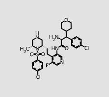 C[C@@H]1CNC[C@H](CCc2c(F)cncc2NC(=O)[C@@H](N)C(c2ccc(Cl)cc2)C2CCOCC2)N1S(=O)(=O)c1ccc(Cl)cc1